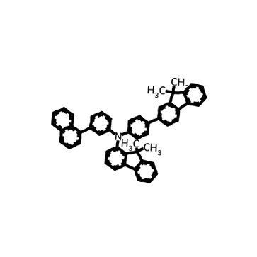 CC1(C)c2ccccc2-c2ccc(-c3ccc(N(c4cccc(-c5cccc6ccccc56)c4)c4cccc5c4C(C)(C)c4ccccc4-5)cc3)cc21